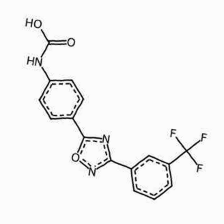 O=C(O)Nc1ccc(-c2nc(-c3cccc(C(F)(F)F)c3)no2)cc1